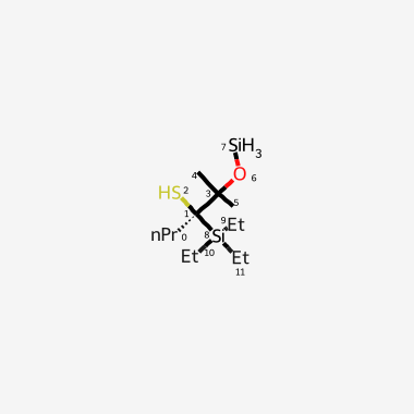 CCC[C@](S)(C(C)(C)O[SiH3])[Si](CC)(CC)CC